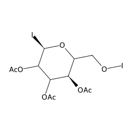 CC(=O)OC1C(OC(C)=O)[C@@H](I)OC(COI)[C@H]1OC(C)=O